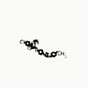 CCc1ccc(CN2CCN(c3ccc(OCC4COC(Cn5ccnc5)(c5ccc(Cl)cc5Cl)O4)cc3)CC2)cc1